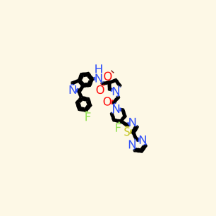 CO[C@@]1(C(=O)Nc2ccc3c(c2)C(c2ccc(F)cc2)=NC3)CCN(CC(=O)N2CCC(F)(c3ncc(-c4ncccn4)s3)CC2)C1